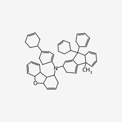 CC12C=CC=CC1C(C1C=CC=CC1)(C1CC=CCC1)C1=CC(N(C3=CC=C(C4CC=CCC4)CC3)C3CC=CC4OC5C=CC=CC5C43)CC=C12